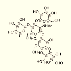 CC(=O)N[C@H]1[C@H](O[C@H]2[C@@H](O)[C@@H](CO)O[C@@H](O[C@@H]([C@H](O)[C@@H](O)C=O)[C@H](O)CO)[C@@H]2O)O[C@H](CO)[C@@H](O[C@@H]2O[C@@H](C)[C@@H](O)[C@@H](O)[C@@H]2O)[C@@H]1O[C@@H]1O[C@H](CO)[C@H](O)[C@H](O)[C@H]1O